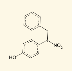 O=[N+]([O-])[C](Cc1ccccc1)c1ccc(O)cc1